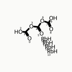 O=C(O)OC(=O)OC(=O)O.[RbH].[RbH].[RbH].[RbH]